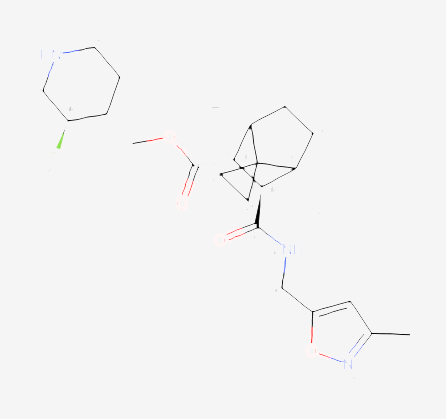 Cc1cc(CNC(=O)[C@H]2[C@H](C(=O)OC[C@H]3CCNC[C@@H]3F)[C@H]3CC[C@@H]2C32CC2)on1